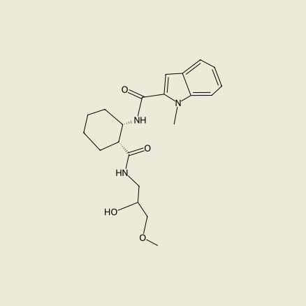 COCC(O)CNC(=O)[C@@H]1CCCC[C@@H]1NC(=O)c1cc2ccccc2n1C